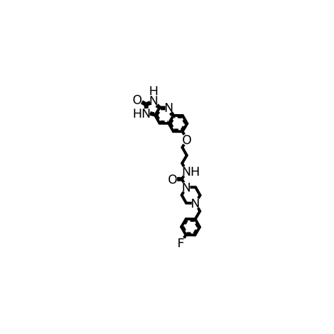 O=C(NCCCOc1ccc2nc3[nH]c(=O)[nH]c3cc2c1)N1CCN(Cc2ccc(F)cc2)CC1